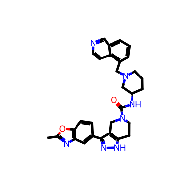 Cc1nc2cc(-c3n[nH]c4c3CN(C(=O)N[C@@H]3CCCN(Cc5cccc6cnccc56)C3)CC4)ccc2o1